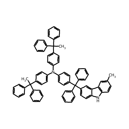 Cc1ccc2[nH]c3ccc(C(c4ccccc4)(c4ccccc4)c4ccc(N(c5ccc(C(C)(c6ccccc6)c6ccccc6)cc5)c5ccc(C(C)(c6ccccc6)c6ccccc6)cc5)cc4)cc3c2c1